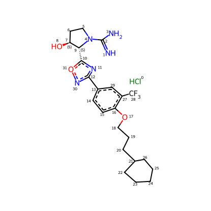 Cl.N=C(N)N1CC[C@H](O)[C@H]1c1nc(-c2ccc(OCCCC3CCCCC3)c(C(F)(F)F)c2)no1